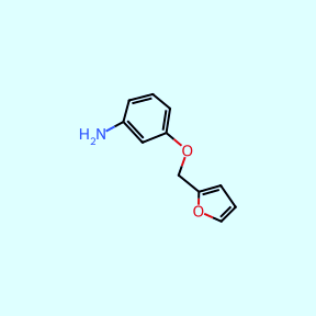 Nc1cccc(OCc2ccco2)c1